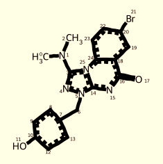 CN(C)c1nn(Cc2ccc(O)cc2)c2nc(=O)c3cc(Br)ccc3n12